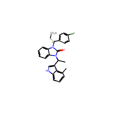 Cc1cccc2[nH]cc(C(C)n3c(=O)n([C@H](CC(=O)O)c4ccc(F)cc4)c4ccccc43)c12